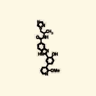 COc1ncccc1-c1ccc(O)c(-c2nc3cc(C(=O)NC(C)Cn4cncn4)ccc3[nH]2)c1